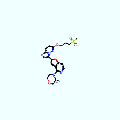 C[C@H]1COCCN1c1nccc2oc(-c3cnc4ccc(OCCCS(C)(=O)=O)nn34)cc12